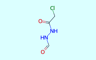 O=CNNC(=O)CCl